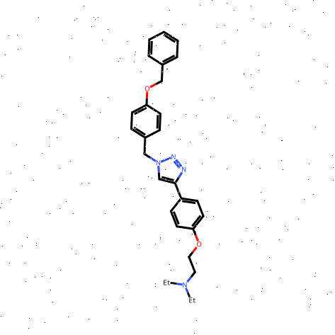 CCN(CC)CCOc1ccc(-c2cn(Cc3ccc(OCc4ccccc4)cc3)nn2)cc1